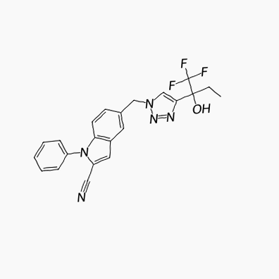 CCC(O)(c1cn(Cc2ccc3c(c2)cc(C#N)n3-c2ccccc2)nn1)C(F)(F)F